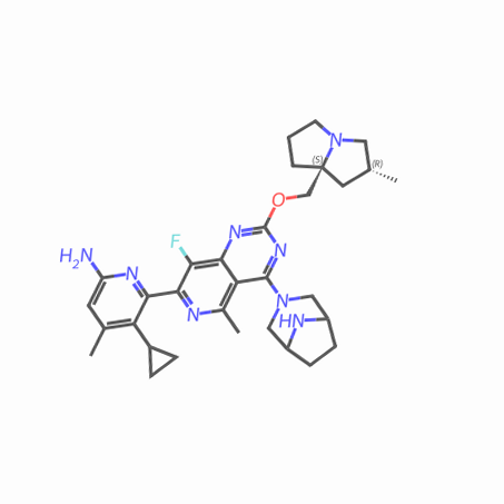 Cc1cc(N)nc(-c2nc(C)c3c(N4CC5CCC(C4)N5)nc(OC[C@@]45CCCN4C[C@H](C)C5)nc3c2F)c1C1CC1